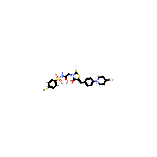 CCCC1CCN(c2ccc(/C=C3\SC(=S)N(CC(=O)NS(=O)(=O)c4ccc(F)cc4)C3=O)cc2)CC1